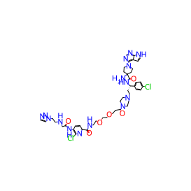 NC1(C(=O)N[C@@H](CCN2CCN(C(=O)CCOCCOCCNC(=O)c3ccc(NC(=O)CNCCn4ccnn4)c(Cl)n3)CC2)c2ccc(Cl)cc2)CCN(c2ncnc3[nH]ccc23)CC1